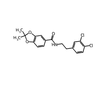 CC1(C)Oc2ccc(C(=O)NCCc3ccc(Cl)c(Cl)c3)cc2O1